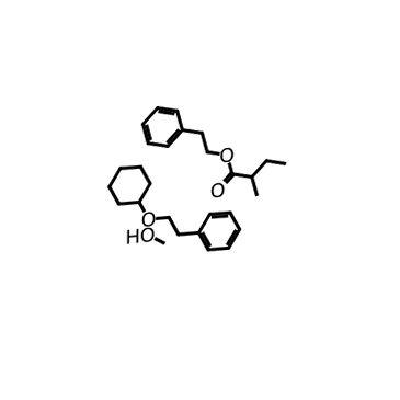 CCC(C)C(=O)OCCc1ccccc1.CO.c1ccc(CCOC2CCCCC2)cc1